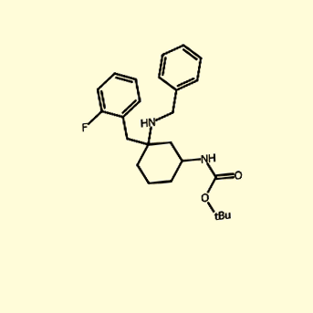 CC(C)(C)OC(=O)NC1CCCC(Cc2ccccc2F)(NCc2ccccc2)C1